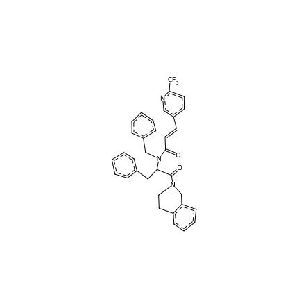 O=C(C(Cc1ccccc1)N(Cc1ccccc1)C(=O)C=Cc1ccc(C(F)(F)F)nc1)N1CCc2ccccc2C1